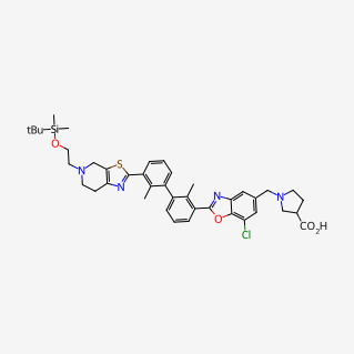 Cc1c(-c2nc3cc(CN4CCC(C(=O)O)C4)cc(Cl)c3o2)cccc1-c1cccc(-c2nc3c(s2)CN(CCO[Si](C)(C)C(C)(C)C)CC3)c1C